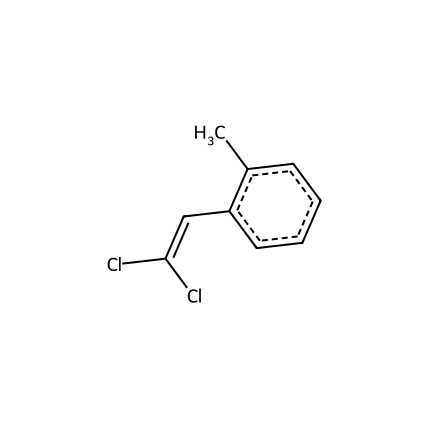 Cc1ccccc1C=C(Cl)Cl